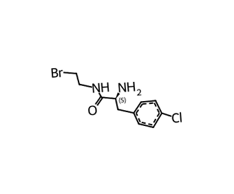 N[C@@H](Cc1ccc(Cl)cc1)C(=O)NCCBr